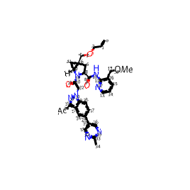 C=CCOC[C@@]12C[C@@H](C(=O)Nc3ncccc3COC)N(C(=O)Cn3nc(C(C)=O)c4cc(-c5cnc(C)nc5)ccc43)[C@@H]1C2